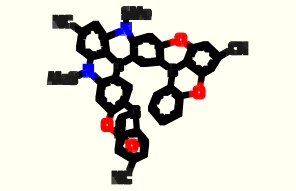 CSN1c2cc3c(cc2B2c4cc5c(cc4N(SC)c4cc(C#N)cc1c42)Oc1cc(C#N)cc2c1B5c1ccccc1O2)B1c2ccccc2Oc2cc(C#N)cc(c21)O3